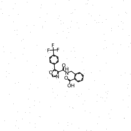 O=C(O)c1ccccc1CNC(=O)c1ncoc1-c1ccc(C(F)(F)F)cc1